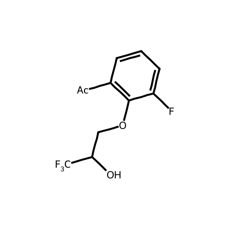 CC(=O)c1cccc(F)c1OCC(O)C(F)(F)F